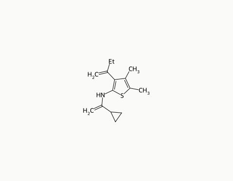 C=C(CC)c1c(NC(=C)C2CC2)sc(C)c1C